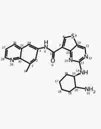 Cc1cc(NC(=O)c2csc3cnc(N[C@@H]4CCCCC4N)nc23)cc2cccnc12